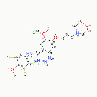 COc1cc2c(Nc3cc(F)c(OC)c(F)c3F)nnnc2cc1OCCCN1CCOCC1.Cl